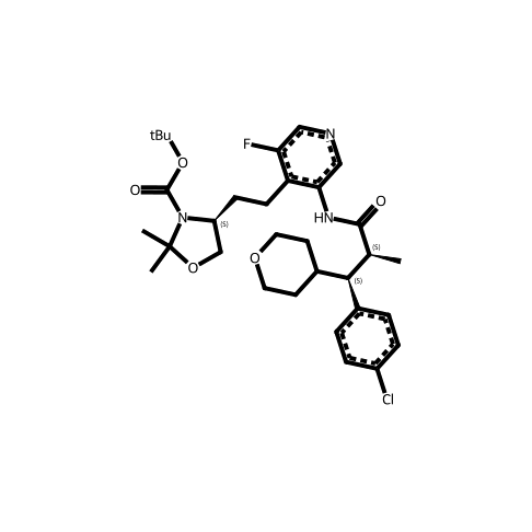 C[C@H](C(=O)Nc1cncc(F)c1CC[C@H]1COC(C)(C)N1C(=O)OC(C)(C)C)[C@@H](c1ccc(Cl)cc1)C1CCOCC1